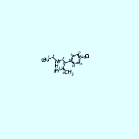 C=C(C(C)C)C(CNCC(C)(C)C)c1ccc(Cl)cc1